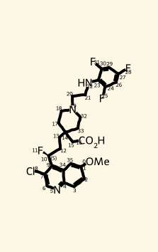 COc1ccc2ncc(Cl)c([C@@H](F)CCC3(CC(=O)O)CCN(CCNc4c(F)cc(F)cc4F)CC3)c2c1